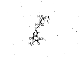 Cn1c(=O)c2cn(CCNC(=O)OC(C)(C)C)cc2n(C)c1=O